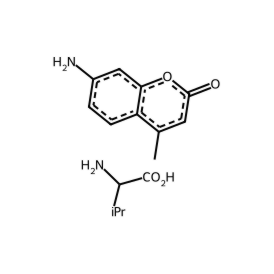 CC(C)C(N)C(=O)O.Cc1cc(=O)oc2cc(N)ccc12